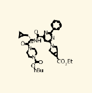 CCCCOC(=O)N1CCN(C(=O)[C@H](CC2CC2)NC(=O)c2cc(N3CC4C(C3)C4C(=O)OCC)nc(-c3ccccc3)n2)CC1